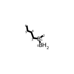 BB(C)CCCC